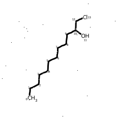 CCCCCCCCCCC(O)CCl